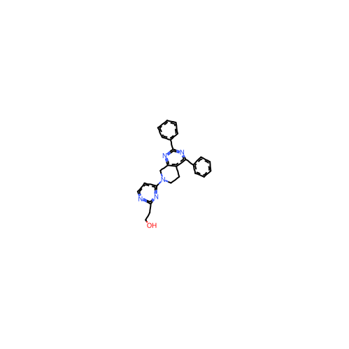 OCCc1nccc(N2CCc3c(nc(-c4ccccc4)nc3-c3ccccc3)C2)n1